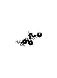 CC(C)c1ccc(C(NC(=O)C2CC(F)CN2C(=O)COc2cccnc2)c2ccccc2)cc1